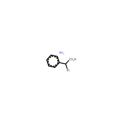 CCC(C(=O)O)c1ccccc1.N